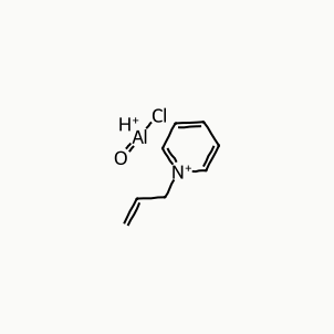 C=CC[n+]1ccccc1.[H+].[O]=[Al][Cl]